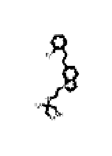 CC(CO)(CO)NCCn1ccc2ccc(CCc3ccccc3C(F)(F)F)cc21